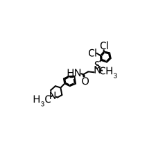 CN1CCC(c2ccc(NC(=O)CCN(C)Sc3cccc(Cl)c3Cl)cc2)CC1